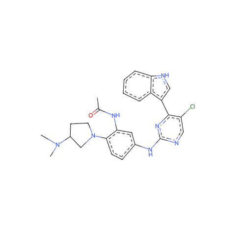 CC(=O)Nc1cc(Nc2ncc(Cl)c(-c3c[nH]c4ccccc34)n2)ccc1N1CCC(N(C)C)C1